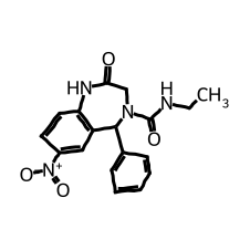 CCNC(=O)N1CC(=O)Nc2ccc([N+](=O)[O-])cc2C1c1ccccc1